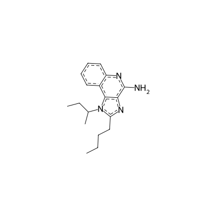 CCCCc1nc2c(N)nc3ccccc3c2n1C(C)CC